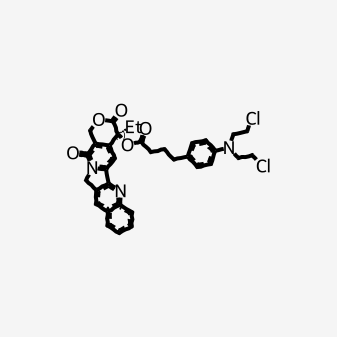 CC[C@@]1(OC(=O)CCCc2ccc(N(CCCl)CCCl)cc2)C(=O)OCc2c1cc1n(c2=O)Cc2cc3ccccc3nc2-1